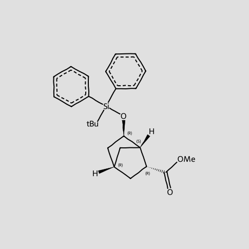 COC(=O)[C@@H]1C[C@H]2C[C@@H]1[C@H](O[Si](c1ccccc1)(c1ccccc1)C(C)(C)C)C2